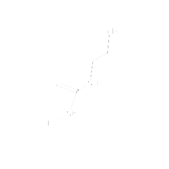 CCCCCCNC(=S)NCC